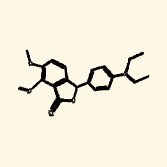 CCN(CC)c1ccc(C2OC(=O)c3c2ccc(OC)c3OC)cc1